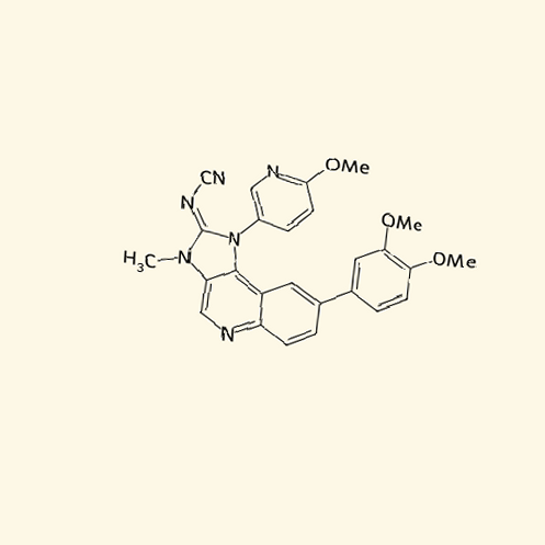 COc1ccc(-n2/c(=N\C#N)n(C)c3cnc4ccc(-c5ccc(OC)c(OC)c5)cc4c32)cn1